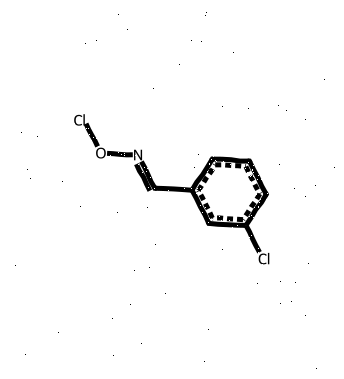 ClON=Cc1cccc(Cl)c1